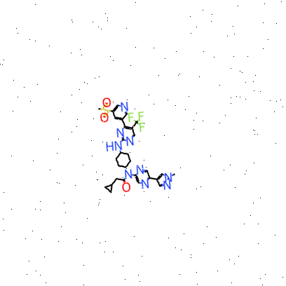 Cn1cc(-c2cnc(N(C(=O)CC3CC3)[C@H]3CC[C@H](Nc4ncc(C(F)(F)F)c(-c5cncc(S(C)(=O)=O)c5)n4)CC3)cn2)cn1